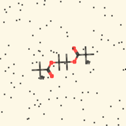 CC(C)C(C)(C)C(=O)OC(C)(C)C(C)(C)OC(=O)C(C)(C)C(C)C